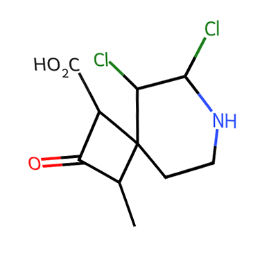 CC1C(=O)C(C(=O)O)C12CCNC(Cl)C2Cl